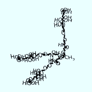 CC(COCCC(=O)NCCOCCOCCOC(O)C(O)C(O)C(O)CCOP(=O)(O)O)(COCCC(=O)NCCOCCOCCOC(O)C(O)C(O)C(O)CCOP(=O)(O)O)COCCC(O)NCCOCCOCCOC(O)C(O)C(O)C(O)CCOP(=O)(O)O